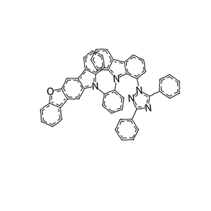 c1ccc(-c2nc(-c3ccccc3)n(-c3cccc4c5ccccc5n(-c5ccccc5-n5c6ccccc6c6cc7oc8ccccc8c7cc65)c34)n2)cc1